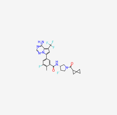 Cc1c(F)cc(-c2cc(C(F)(F)F)c3c(N)ncnn23)cc1C(=O)N[C@@H]1CN(C(=O)C2CC23CC3)C[C@@H]1F